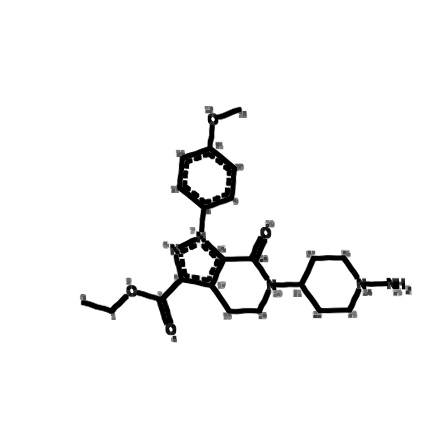 CCOC(=O)c1nn(-c2ccc(OC)cc2)c2c1CCN(C1CCN(N)CC1)C2=O